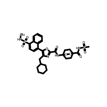 CC(C)(C)NS(=O)(=O)c1ccc(-c2oc(C(=O)NC34CCC(C(=O)NS(C)(=O)=O)(CC3)CC4)nc2CC2CCCCC2)c2ccccc12